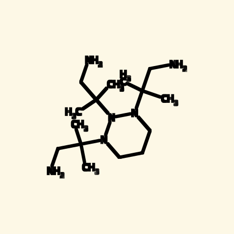 CC(C)(CN)N1CCCN(C(C)(C)CN)N1C(C)(C)CN